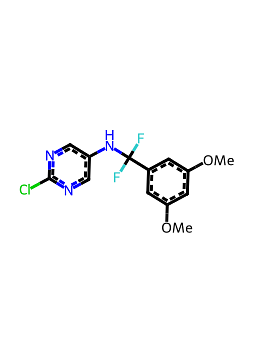 COc1cc(OC)cc(C(F)(F)Nc2cnc(Cl)nc2)c1